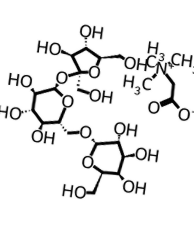 C[N+](C)(C)CC(=O)[O-].OC[C@H]1O[C@H](OC[C@H]2O[C@H](O[C@]3(CO)O[C@H](CO)[C@@H](O)[C@@H]3O)[C@H](O)[C@@H](O)[C@@H]2O)[C@H](O)[C@@H](O)[C@H]1O